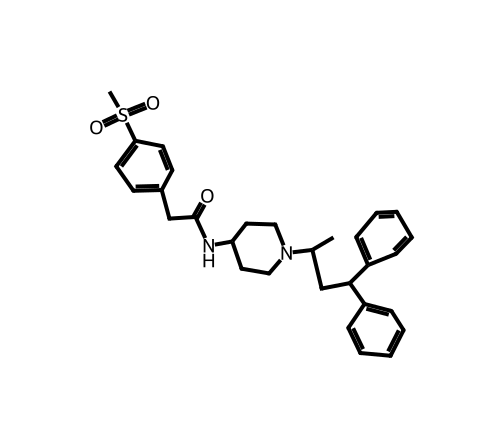 CC(CC(c1ccccc1)c1ccccc1)N1CCC(NC(=O)Cc2ccc(S(C)(=O)=O)cc2)CC1